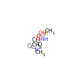 CSCC[C@H](NC(=O)c1ccc(CN(C)CCC2=CCCCC2)cc1-c1ccccc1C)C(=O)O